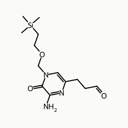 C[Si](C)(C)CCOCn1cc(CCC=O)nc(N)c1=O